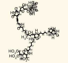 CC(C)(CCC(NC(=O)CCCC[C@@H]1SC[C@@H]2NC(=O)N[C@@H]21)C(=O)NCCCCCC(=O)NC(CC(=O)O)C(=O)NC(CC(=O)O)C(=O)O)SSCCC(=O)NCC#Cc1cn(C2CC(O)C(COP(=O)(O)OP(=O)(O)OP(=O)(O)O)O2)c(=O)[nH]c1=O